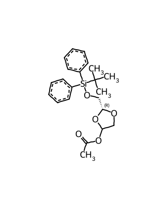 CC(=O)OC1CO[C@@H](CO[Si](c2ccccc2)(c2ccccc2)C(C)(C)C)O1